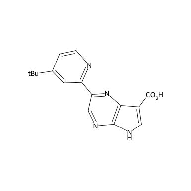 CC(C)(C)c1ccnc(-c2cnc3[nH]cc(C(=O)O)c3n2)c1